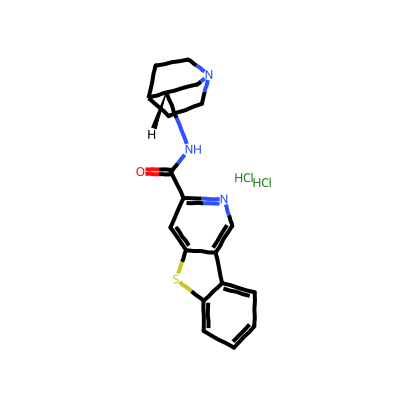 Cl.Cl.O=C(N[C@H]1CN2CCC1CC2)c1cc2sc3ccccc3c2cn1